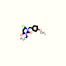 CCn1c(=O)cc(Cl)n(Cc2ccc(OC)cc2)c1=O